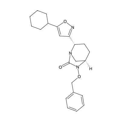 O=C1N2C[C@@H](CC[C@H]2c2cc(C3CCCCC3)on2)N1OCc1ccccc1